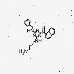 NCCCCNc1nc(NCc2ccccc2)nc(Nc2cccc3ccccc23)n1